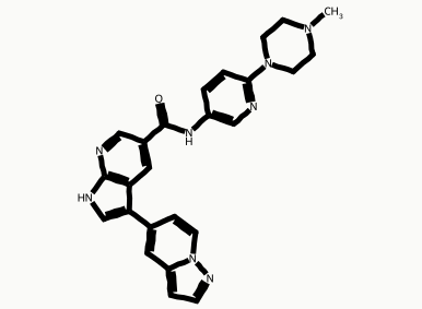 CN1CCN(c2ccc(NC(=O)c3cnc4[nH]cc(-c5ccn6nccc6c5)c4c3)cn2)CC1